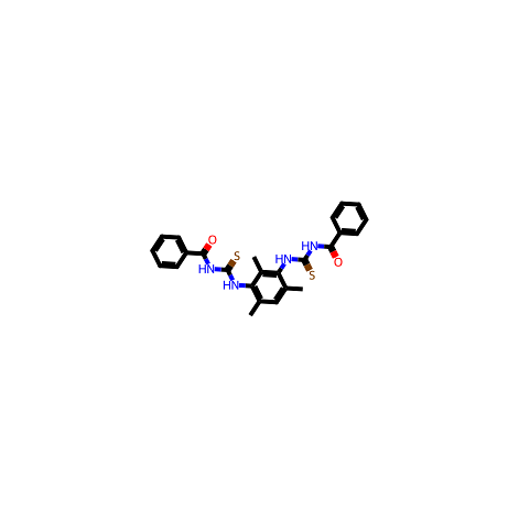 Cc1cc(C)c(NC(=S)NC(=O)c2ccccc2)c(C)c1NC(=S)NC(=O)c1ccccc1